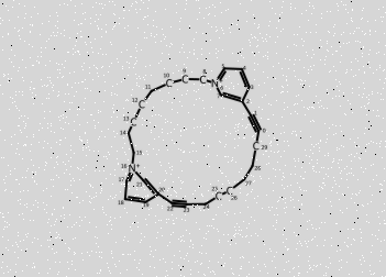 C1#Cc2ccc[n+](c2)CCCCCCCC[n+]2cccc(c2)C#CCCCCCC1